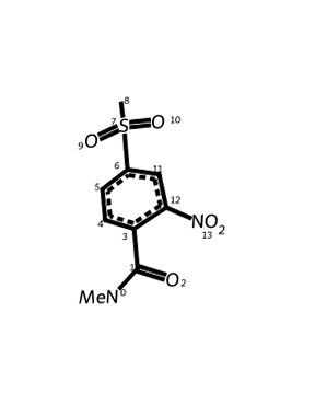 CNC(=O)c1ccc(S(C)(=O)=O)cc1[N+](=O)[O-]